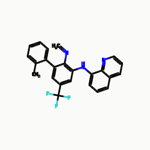 C=Nc1c(Nc2cccc3cccnc23)cc(C(F)(F)F)cc1-c1ccccc1C